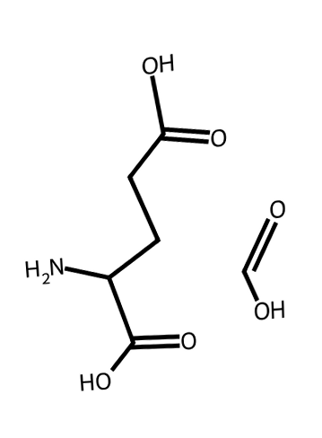 NC(CCC(=O)O)C(=O)O.O=CO